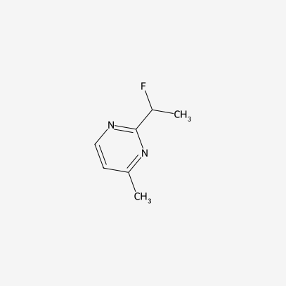 Cc1ccnc(C(C)F)n1